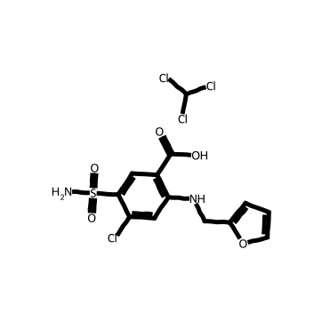 ClC(Cl)Cl.NS(=O)(=O)c1cc(C(=O)O)c(NCc2ccco2)cc1Cl